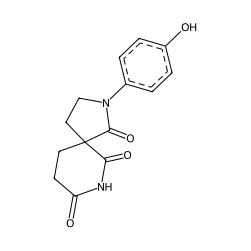 O=C1CCC2(CCN(c3ccc(O)cc3)C2=O)C(=O)N1